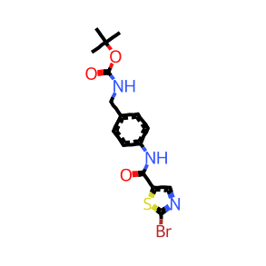 CC(C)(C)OC(=O)NCc1ccc(NC(=O)c2cnc(Br)s2)cc1